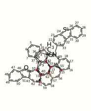 CC1(C)c2ccccc2-c2cccc(-c3ccccc3N(c3ccc4sc5ccccc5c4c3)c3cccc(-c4cccc5c4oc4ccccc45)c3-c3cccc4ccccc34)c21